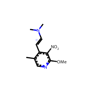 COc1ncc(C)c(/C=C/N(C)C)c1[N+](=O)[O-]